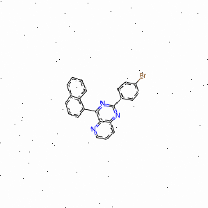 Brc1ccc(-c2nc(-c3cccc4ccccc34)c3ncccc3n2)cc1